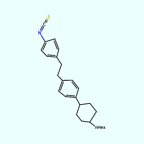 CCCCCCC1CCC(c2ccc(CCc3ccc(N=C=S)cc3)cc2)CC1